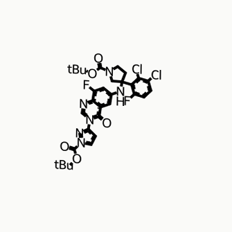 CC(C)(C)OC(=O)N1CCC(Nc2cc(F)c3ncn(-c4ccn(C(=O)OC(C)(C)C)n4)c(=O)c3c2)(c2c(F)ccc(Cl)c2Cl)C1